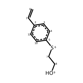 C=Cc1ccc(SCCO)cc1